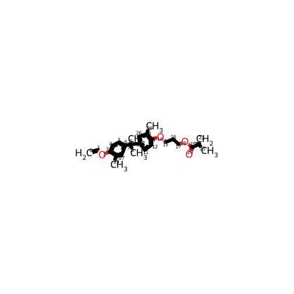 C=COc1ccc(C(C)(C)c2ccc(OCCCOC(=O)C(=C)C)c(C)c2)cc1C